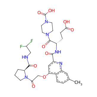 Cc1ccc2c(OCC(=O)N3CCC[C@H]3C(=O)NCC(F)F)cc(C(=O)N[C@@H](CCC(=O)O)C(=O)N3CCN(C(=O)O)CC3)nc2c1